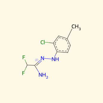 Cc1ccc(N/N=C(\N)C(F)F)c(Cl)c1